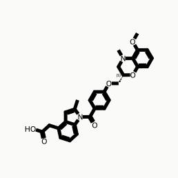 COc1cccc2c1N(C)C[C@@H](COc1ccc(C(=O)n3c(C)cc4c(CC(=O)O)cccc43)cc1)O2